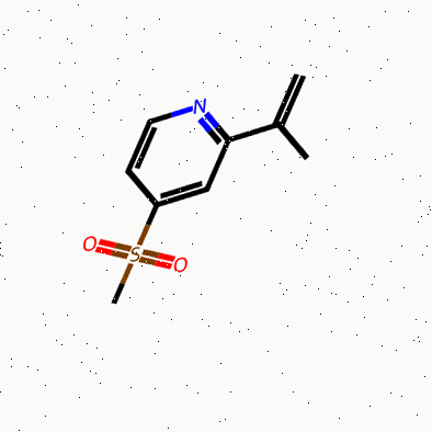 C=C(C)c1cc(S(C)(=O)=O)ccn1